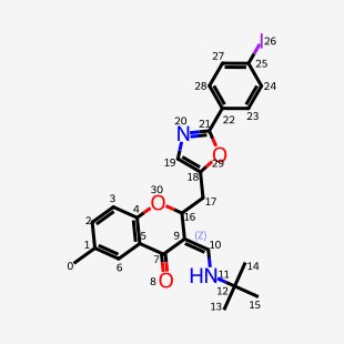 Cc1ccc2c(c1)C(=O)/C(=C\NC(C)(C)C)C(Cc1cnc(-c3ccc(I)cc3)o1)O2